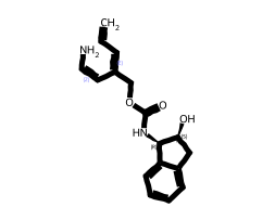 C=C/C=C(\C=C/N)COC(=O)N[C@@H]1c2ccccc2C[C@@H]1O